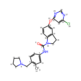 O=C(Nc1ccc(CN2CCCC2)c(C(F)(F)F)c1)N1CCc2cc(Oc3cc(Cl)ncn3)ccc21